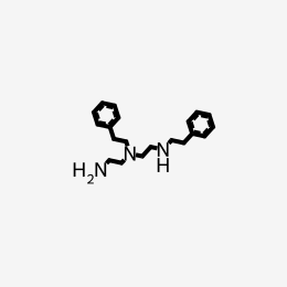 NCCN(CCNCCc1ccccc1)CCc1ccccc1